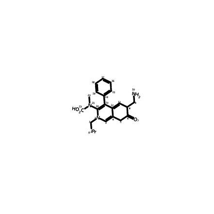 CC(C)CN1C=C2CC(=O)C(CN)C=C2C(c2ccccc2)=C1N(C)C(=O)O